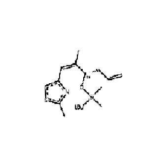 C=CC[C@H](O[Si](C)(C)C(C)(C)C)C(C)=Cc1csc(C)n1